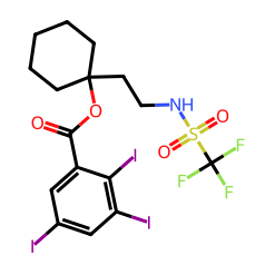 O=C(OC1(CCNS(=O)(=O)C(F)(F)F)CCCCC1)c1cc(I)cc(I)c1I